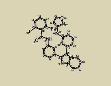 O=C(Nc1cccc(-c2nn3ccccc3c2-c2ccnc(Nc3ccon3)n2)c1)c1c(F)cccc1F